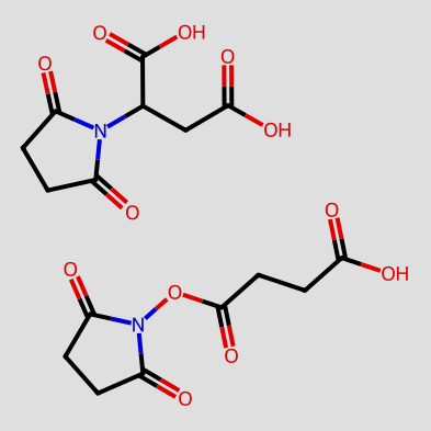 O=C(O)CC(C(=O)O)N1C(=O)CCC1=O.O=C(O)CCC(=O)ON1C(=O)CCC1=O